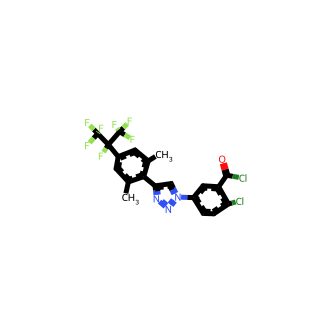 Cc1cc(C(F)(C(F)(F)F)C(F)(F)F)cc(C)c1-c1cn(-c2ccc(Cl)c(C(=O)Cl)c2)nn1